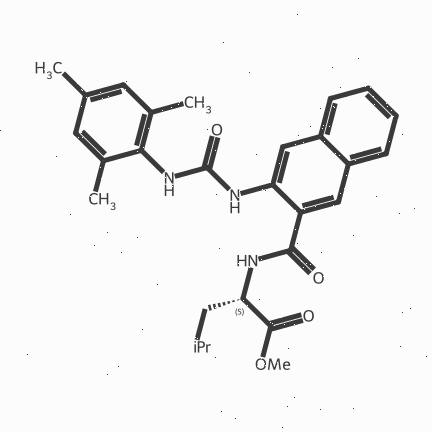 COC(=O)[C@H](CC(C)C)NC(=O)c1cc2ccccc2cc1NC(=O)Nc1c(C)cc(C)cc1C